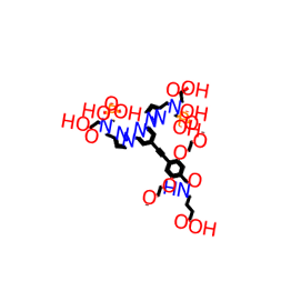 COCCOc1cc(C(=O)NCCCC(=O)O)c(OCCOC)cc1C#Cc1cc(-n2ccc(CN(CC(=O)O)CP(=O)(O)O)n2)nc(-n2ccc(CN(CC(=O)O)CP(=O)(O)O)n2)c1